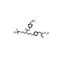 CCOC(Cc1ccc(OCCN(CCOCC(F)(F)CC)C(=O)Oc2ccc(OC(F)(F)F)cc2)cc1)C(=O)O